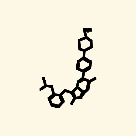 CCOC(=O)C1CCN(c2ncc(-c3cn4c(Cc5ccccc5OC(F)F)c(C)nc4cc3C)cn2)CC1